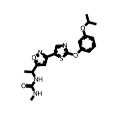 CNC(=O)NC(C)c1cc(-c2cnc(Oc3cccc(OC(C)C)c3)s2)no1